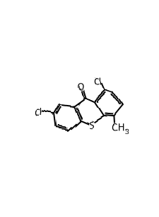 Cc1ccc(Cl)c2c(=O)c3cc(Cl)ccc3sc12